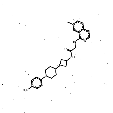 Cc1ccc2ncnc(NCC(=O)NC3CN(C4CCC(c5ccc(N)cn5)CC4)C3)c2c1